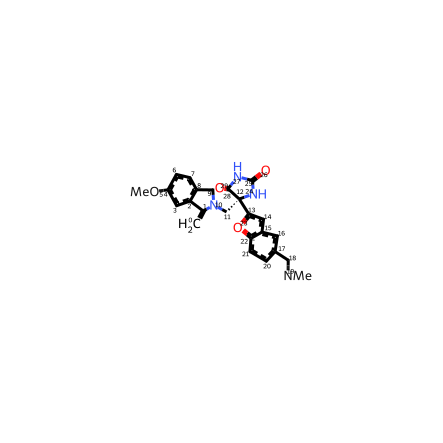 C=C1c2cc(OC)ccc2CN1C[C@@]1(c2cc3cc(CNC)ccc3o2)NC(=O)NC1=O